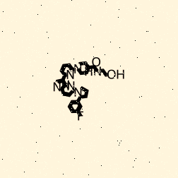 O=C(NCCO)C1CCN(c2cccc(-c3cnc4ccc(N5CCCC5c5cccc(F)c5)nn34)n2)CC1